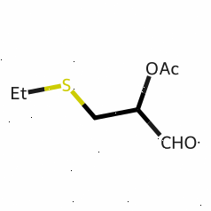 CCSCC([C]=O)OC(C)=O